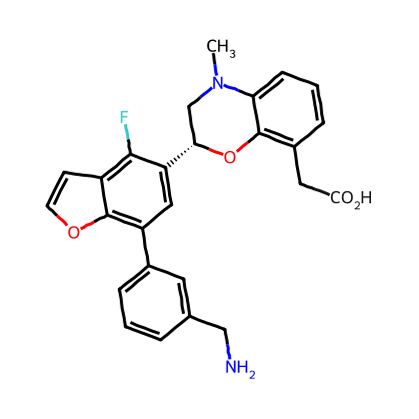 CN1C[C@@H](c2cc(-c3cccc(CN)c3)c3occc3c2F)Oc2c(CC(=O)O)cccc21